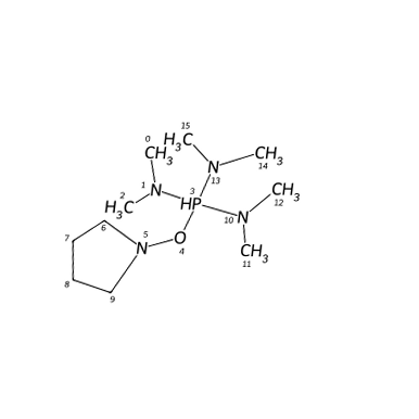 CN(C)[PH](ON1CCCC1)(N(C)C)N(C)C